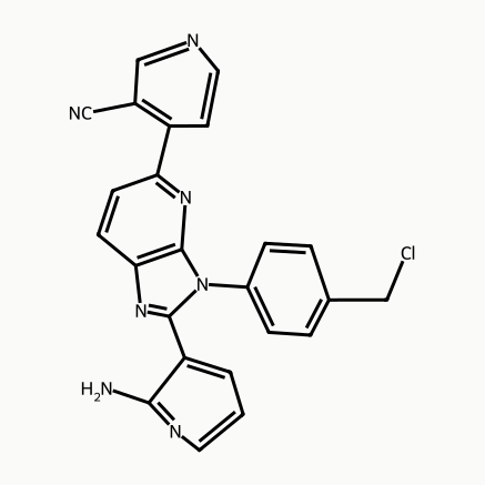 N#Cc1cnccc1-c1ccc2nc(-c3cccnc3N)n(-c3ccc(CCl)cc3)c2n1